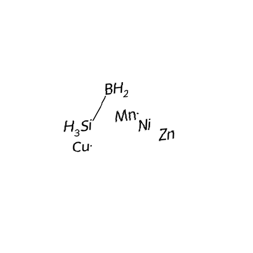 B[SiH3].[Cu].[Mn].[Ni].[Zn]